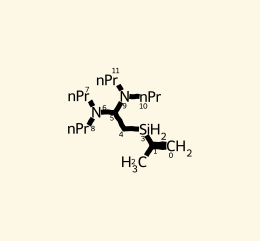 C=C(C)[SiH2]CC(N(CCC)CCC)N(CCC)CCC